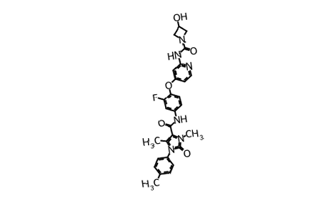 Cc1ccc(-n2c(C)c(C(=O)Nc3ccc(Oc4ccnc(NC(=O)N5CC(O)C5)c4)c(F)c3)n(C)c2=O)cc1